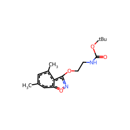 Cc1cc(C)c2c(OCCNC(=O)OC(C)(C)C)noc2c1